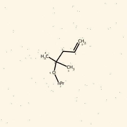 C=CCC(C)(C)OCCC